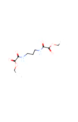 O=C(NCCCNC(=O)C(=O)OCC(F)(F)F)C(=O)OCC(F)(F)F